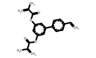 C=Cc1ccc(-c2cc(OC(=O)C(=C)C)cc(OC(=O)C(=C)C)c2)cc1